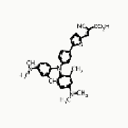 Cc1cc(N(C)C)ccc1N(c1ccc(-c2ccc(/C=C(\C#N)C(=O)O)s2)cc1)c1ccc(N(C)C)cc1C